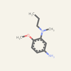 CCCN(C)c1cc(N)ccc1OC